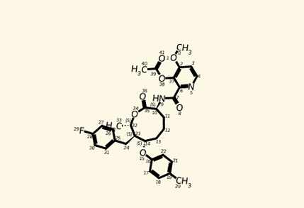 COc1ccnc(C(=O)N[C@H]2CCC[C@H](Oc3ccc(C)cc3)[C@@H](Cc3ccc(F)cc3)[C@H](C)OC2=O)c1OC(C)=O